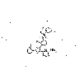 Nc1nccc(-c2sc(C3CCCN3)nc2-c2cccc(NS(=O)(=O)c3cc(F)ccc3F)c2F)n1